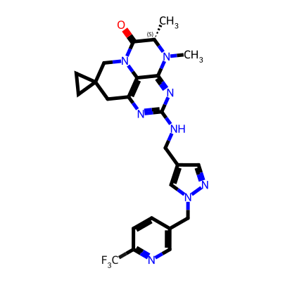 C[C@H]1C(=O)N2CC3(CC3)Cc3nc(NCc4cnn(Cc5ccc(C(F)(F)F)nc5)c4)nc(c32)N1C